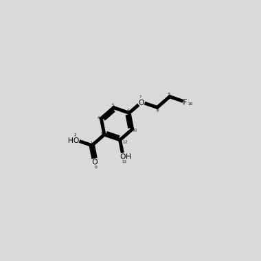 O=C(O)c1ccc(OCCF)cc1O